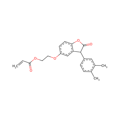 C=CC(=O)OCCOc1ccc2c(c1)C(c1ccc(C)c(C)c1)C(=O)O2